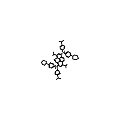 CC(C)c1ccc(N(c2ccc(C3CCCCC3)cc2)c2cc(C(C)C)c3ccc4c(N(c5ccc(C(C)C)cc5)c5ccc(C6CCCCC6)cc5)cc(C(C)C)c5ccc2c3c54)cc1